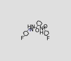 O=C(Nc1ccccc1C(=O)N/N=C/c1ccc(F)cc1)c1ccc(F)cc1